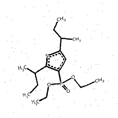 CCOP(=O)(OCC)c1cc(C(C)CC)sc1C(C)CC